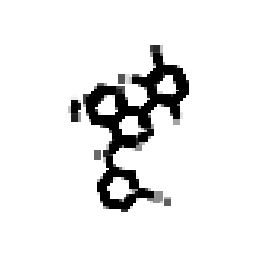 CN1CCC[C@@H](Nc2nnc(-c3c(F)ccc(Cl)c3O)c3ncccc23)C1.O=CO